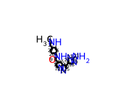 CNCc1ccc(NC(=O)c2ccn3ncc(-c4cnc(N)nc4)c3c2)cc1